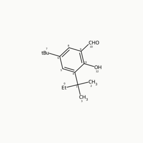 CCC(C)(C)c1cc(C(C)(C)C)cc(C=O)c1O